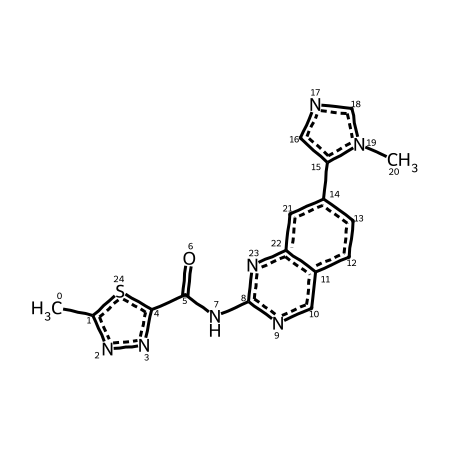 Cc1nnc(C(=O)Nc2ncc3ccc(-c4cncn4C)cc3n2)s1